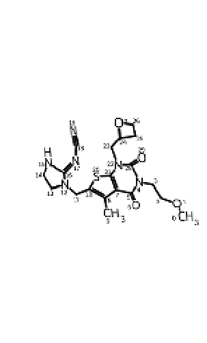 COCCn1c(=O)c2c(C)c(CN3CCNC3=NC#N)sc2n(CC2CCO2)c1=O